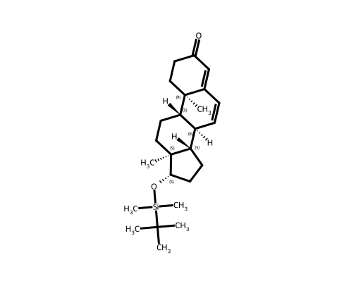 CC(C)(C)[Si](C)(C)O[C@H]1CC[C@H]2[C@@H]3C=CC4=CC(=O)CC[C@]4(C)[C@H]3CC[C@]12C